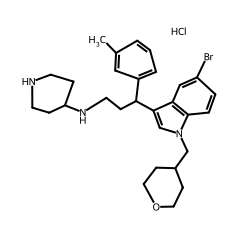 Cc1cccc(C(CCNC2CCNCC2)c2cn(CC3CCOCC3)c3ccc(Br)cc23)c1.Cl